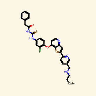 COCCNCc1ccc(-c2cc3nccc(Oc4ccc(NC(=S)NC(=O)Cc5ccccc5)cc4F)c3s2)nc1